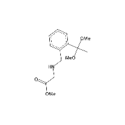 COC(=O)CNCc1ccccc1C(C)(OC)OC